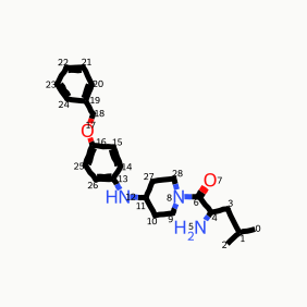 CC(C)CC(N)C(=O)N1CCC(Nc2ccc(OCc3ccccc3)cc2)CC1